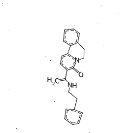 C=C(NCCc1ccccc1)c1ccc2n(c1=O)CCc1ccccc1-2